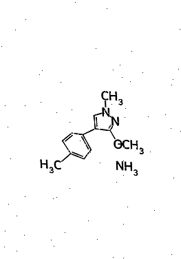 COc1nn(C)cc1-c1ccc(C)cc1.N